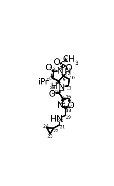 CC(C)[C@@H]1C(=O)N(S(C)(=O)=O)[C@@H]2CCN(C(=O)c3coc(CNCC4CC4)n3)[C@H]21